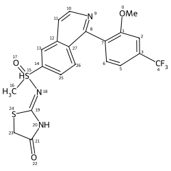 COc1cc(C(F)(F)F)ccc1-c1nccc2cc([SH](C)(=O)/N=C3/NC(=O)CS3)ccc12